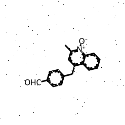 Cc1cc(Cc2ccc(C=O)cc2)c2ccccc2[n+]1[O-]